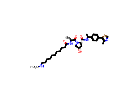 Cc1ncsc1-c1ccc(C(C)NC(=O)[C@@H]2C[C@@H](O)CN2C(=O)C(NC(=O)CCCCCCCCCCNC(=O)O)C(C)(C)C)cc1